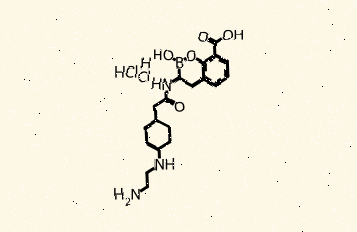 Cl.Cl.NCCNC1CCC(CC(=O)NC2Cc3cccc(C(=O)O)c3OB2O)CC1